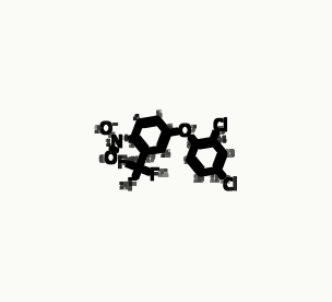 O=[N+]([O-])c1ccc(Oc2ccc(Cl)cc2Cl)cc1C(F)(F)F